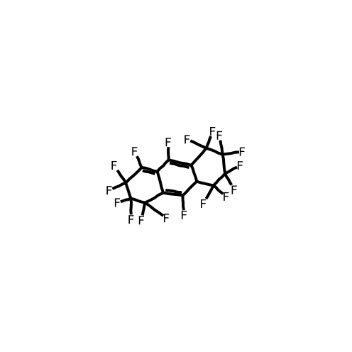 FC1=C2C(C(F)=C3C1=C(F)C(F)(F)C(F)(F)C3(F)F)C(F)(F)C(F)(F)C(F)(F)C2(F)F